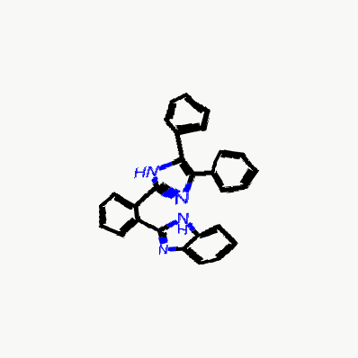 c1ccc(-c2nc(-c3ccccc3-c3nc4ccccc4[nH]3)[nH]c2-c2ccccc2)cc1